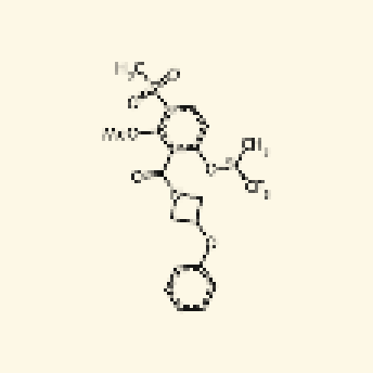 COc1c(S(C)(=O)=O)ccc(O[C@@H](C)C(F)(F)F)c1C(=O)N1CC(Oc2ccccc2)C1